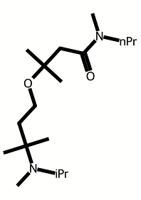 CCCN(C)C(=O)CC(C)(C)OCCC(C)(C)N(C)C(C)C